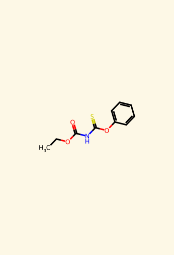 CCOC(=O)NC(=S)Oc1ccccc1